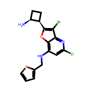 N[C@H]1CC[C@H]1c1oc2c(NCc3cccs3)cc(Cl)nc2c1Br